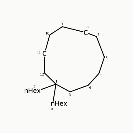 CCCCCCC1(CCCCCC)CCCCCCCCCC1